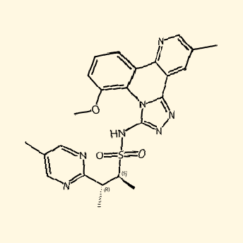 COc1cccc2c3ncc(C)cc3c3nnc(NS(=O)(=O)[C@@H](C)[C@H](C)c4ncc(C)cn4)n3c12